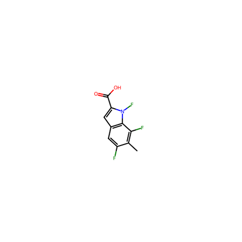 Cc1c(F)cc2cc(C(=O)O)n(F)c2c1F